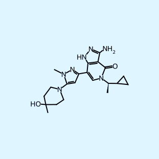 C[C@H](C1CC1)n1cc(-c2cc(N3CCC(C)(O)CC3)n(C)n2)c2[nH]nc(N)c2c1=O